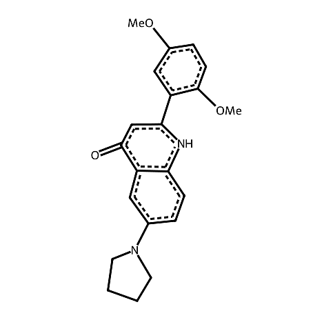 COc1ccc(OC)c(-c2cc(=O)c3cc(N4CCCC4)ccc3[nH]2)c1